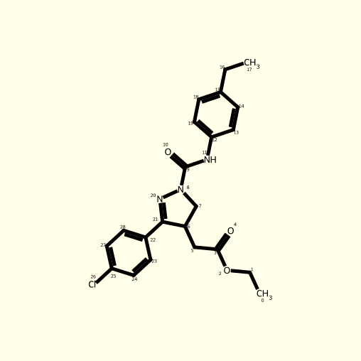 CCOC(=O)CC1CN(C(=O)Nc2ccc(CC)cc2)N=C1c1ccc(Cl)cc1